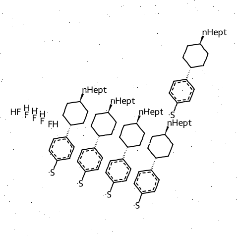 CCCCCCC[C@H]1CC[C@H](c2ccc([S])cc2)CC1.CCCCCCC[C@H]1CC[C@H](c2ccc([S])cc2)CC1.CCCCCCC[C@H]1CC[C@H](c2ccc([S])cc2)CC1.CCCCCCC[C@H]1CC[C@H](c2ccc([S])cc2)CC1.CCCCCCC[C@H]1CC[C@H](c2ccc([S])cc2)CC1.F.F.F.F.F